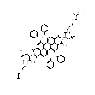 C=C(Cl)C(=O)OCCNC(=O)C(CC(F)(F)F)N1C(=O)c2cc(Oc3ccccc3)c3c4c(Oc5ccccc5)cc5c6c(cc(Oc7ccccc7)c(c7c(Oc8ccccc8)cc(c2c37)C1=O)c64)C(=O)N(C(CC(F)(F)F)C(=O)NCCOC(=O)C(=C)Cl)C5=O